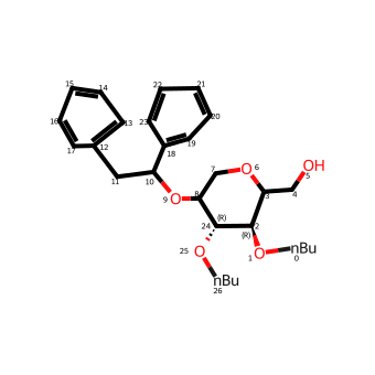 CCCCO[C@@H]1C(CO)OCC(OC(Cc2ccccc2)c2ccccc2)[C@H]1OCCCC